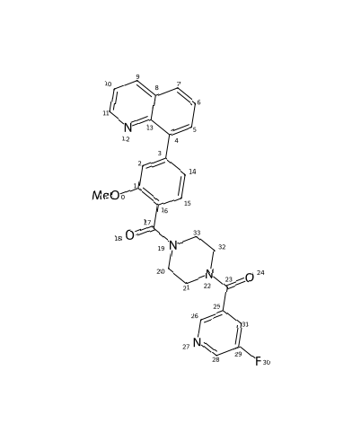 COc1cc(-c2cccc3cccnc23)ccc1C(=O)N1CCN(C(=O)c2cncc(F)c2)CC1